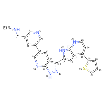 CCNCc1cncc(-c2cnc3[nH]nc(-c4cc5c(-c6cccs6)ccnc5[nH]4)c3c2)c1